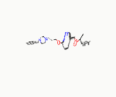 CC(C)[C@H](C)OCc1ccc(OCCCN2CCN(C(C)(C)C)CC2)nc1